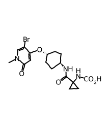 Cn1cc(Br)c(O[C@H]2CC[C@H](NC(=O)C3(NC(=O)O)CC3)CC2)cc1=O